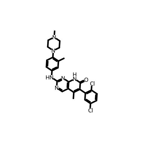 Cc1cc(Nc2ncc3c(C)c(-c4cc(Cl)ccc4Cl)c(=O)[nH]c3n2)ccc1N1CCN(C)CC1